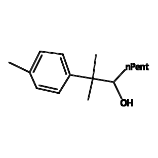 CCCCCC(O)C(C)(C)c1ccc(C)cc1